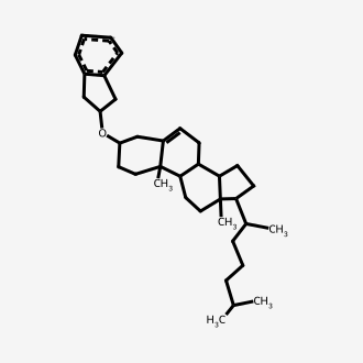 CC(C)CCCC(C)C1CCC2C3CC=C4CC(OC5Cc6c[c]ccc6C5)CCC4(C)C3CCC12C